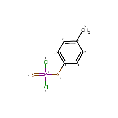 Cc1ccc(SP(=S)(Cl)Cl)cc1